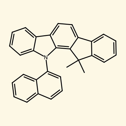 CC1(C)c2ccccc2-c2ccc3c4ccccc4n(-c4cccc5ccccc45)c3c21